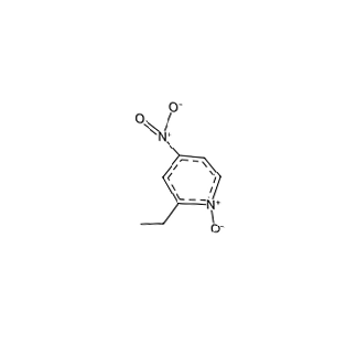 CCc1cc([N+](=O)[O-])cc[n+]1[O-]